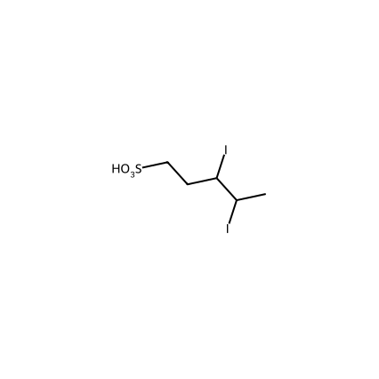 CC(I)C(I)CCS(=O)(=O)O